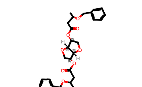 CC(CC(=O)O[C@H]1CO[C@H]2[C@@H]1OC[C@H]2OC(=O)CC(C)OCc1ccccc1)OCc1ccccc1